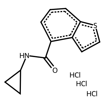 Cl.Cl.Cl.O=C(NC1CC1)c1cccc2sccc12